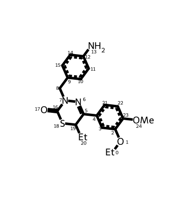 CCOc1cc(C2=NN(Cc3ccc(N)cc3)C(=O)SC2CC)ccc1OC